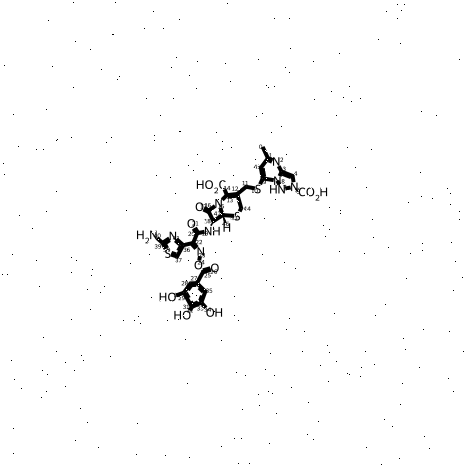 CC1=NC2=CN(C(=O)O)NN2C(SCC2=C(C(=O)O)N3C(=O)[C@@H](NC(=O)C(=NOC(=O)c4cc(O)c(O)c(O)c4)c4csc(N)n4)[C@H]3SC2)=C1